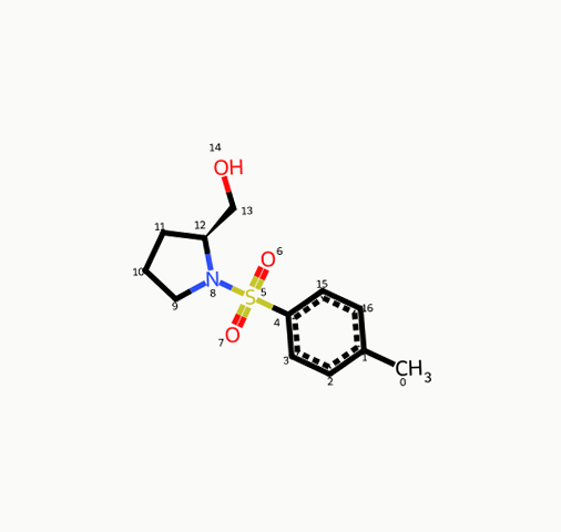 Cc1ccc(S(=O)(=O)N2CCC[C@H]2CO)cc1